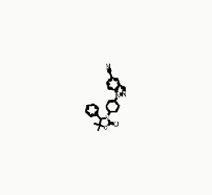 CC1(C)OC(=O)N(C2CCC(n3ncc4cc(C#N)ccc43)CC2)C1c1ccccc1